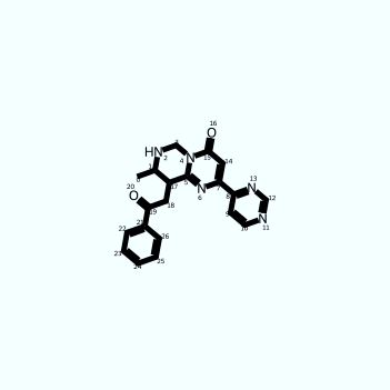 CC1NCn2c(nc(-c3ccncn3)cc2=O)C1CC(=O)c1ccccc1